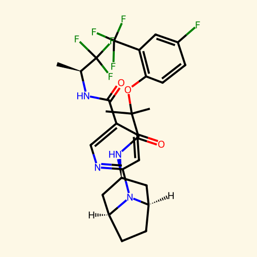 C[C@H](NC(=O)c1ccc(N2[C@@H]3CC[C@H]2C[C@@H](NC(=O)C(C)(C)Oc2ccc(F)cc2C(F)(F)F)C3)nc1)C(F)(F)F